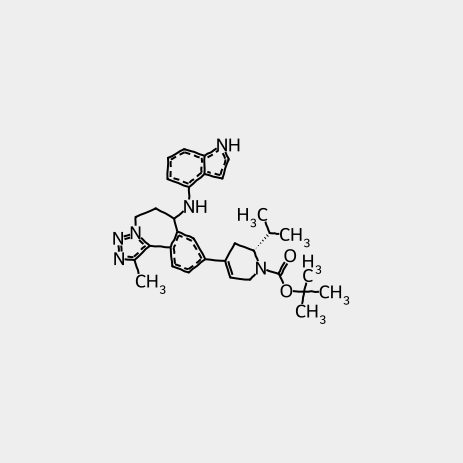 Cc1nnn2c1-c1ccc(C3=CCN(C(=O)OC(C)(C)C)[C@@H](C(C)C)C3)cc1C(Nc1cccc3[nH]ccc13)CC2